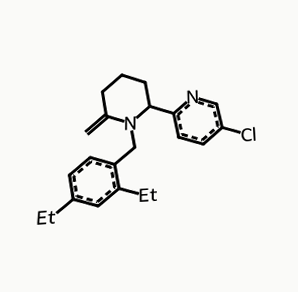 C=C1CCCC(c2ccc(Cl)cn2)N1Cc1ccc(CC)cc1CC